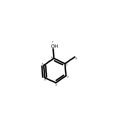 Cc1ccc#cc1O